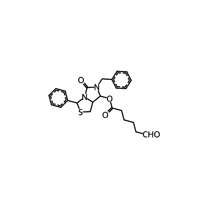 O=CCCCCC(=O)OC1C2CSC(c3ccccc3)N2C(=O)N1Cc1ccccc1